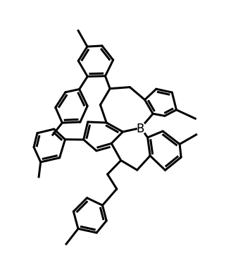 Cc1ccc(CCC2Cc3ccc(C)cc3B3c4cc(C)ccc4CC(c4ccc(C)cc4-c4ccc(C)cc4)Cc4cc(-c5cccc(C)c5)cc2c43)cc1